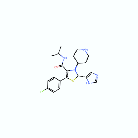 CC(C)NC(=O)C1=C(c2ccc(F)cc2)SC(c2cnc[nH]2)N1C1CCNCC1